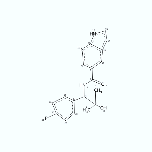 CC(C)(O)C(NC(=O)c1cnc2[nH]ccc2c1)c1ccc(F)cc1